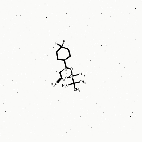 C=CC[C@H](O[Si](C)(C)C(C)(C)C)C1CCC(F)(F)CC1